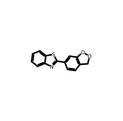 c1ccc2sc(-c3ccc4c(c3)OOC4)nc2c1